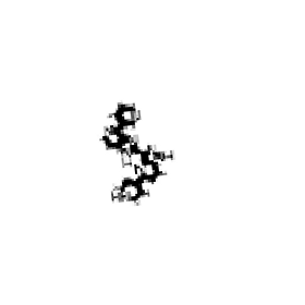 c1cncc(-c2nccc3[nH]c(-c4n[nH]c5ccc(C6CCNCC6)nc45)nc23)c1